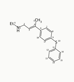 CCNCC=C(C)c1ccc(Sc2ccccc2)cc1